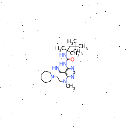 CN(CCN1CCCCCC1)c1ncnc(NC(=O)NC(C)(C)CC(C)(C)C)c1C=N